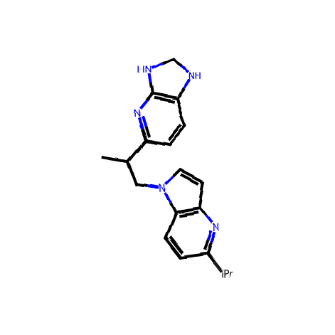 CC(C)c1ccc2c(ccn2CC(C)c2ccc3c(n2)NCN3)n1